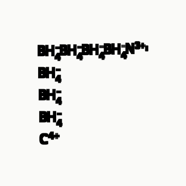 [BH4-].[BH4-].[BH4-].[BH4-].[BH4-].[BH4-].[BH4-].[C+4].[N+3]